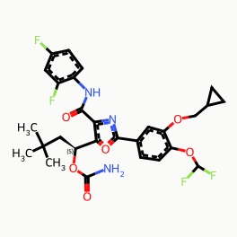 CC(C)(C)C[C@H](OC(N)=O)c1oc(-c2ccc(OC(F)F)c(OCC3CC3)c2)nc1C(=O)Nc1ccc(F)cc1F